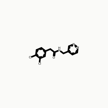 O=C(Cc1ccc(Cl)c(Cl)c1)NCc1ccnnc1